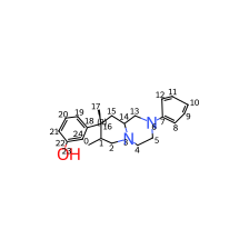 CC1CN2CCN(c3ccccc3)CC2C[C@@]1(C)c1cccc(O)c1